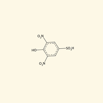 O=[N+]([O-])c1cc(S(=O)(=O)O)cc([N+](=O)[O-])c1O